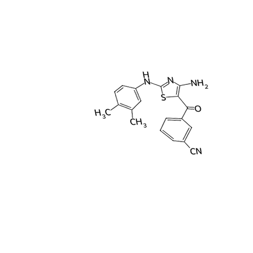 Cc1ccc(Nc2nc(N)c(C(=O)c3cccc(C#N)c3)s2)cc1C